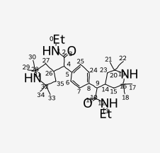 CCNC(=O)C(c1ccc(C(C(=O)NCC)C2CC(C)(C)NC(C)(C)C2)cc1)C1CC(C)(C)NC(C)(C)C1